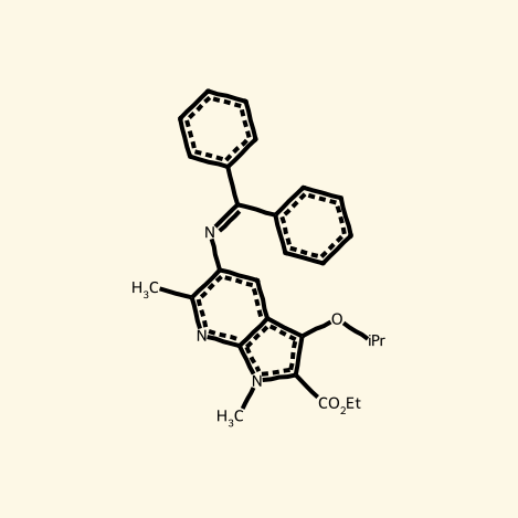 CCOC(=O)c1c(OC(C)C)c2cc(N=C(c3ccccc3)c3ccccc3)c(C)nc2n1C